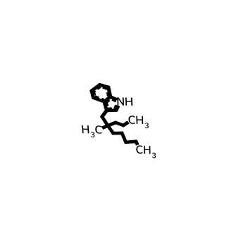 CCCCCC(C)(CCC)Cc1c[nH]c2ccccc12